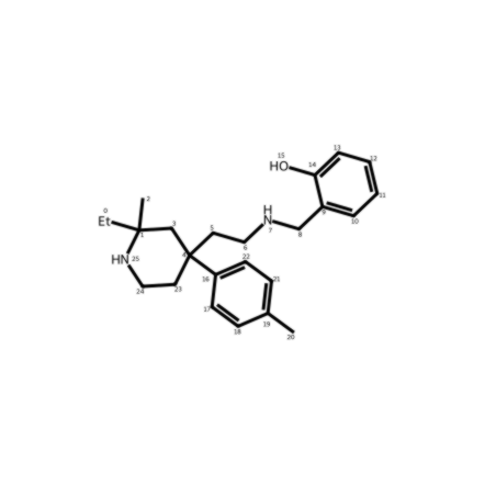 CCC1(C)CC(CCNCc2ccccc2O)(c2ccc(C)cc2)CCN1